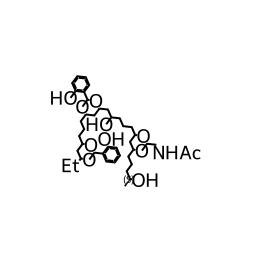 CCC1CC(CCCC2CC(CC(O)CCCC3CC(CCC[C@H](C)O)OC(CNC(C)=O)O3)OC(c3ccccc3O)O2)OC(c2ccccc2O)O1